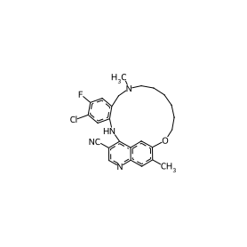 Cc1cc2ncc(C#N)c3c2cc1OCCCCCCN(C)Cc1cc(F)c(Cl)cc1N3